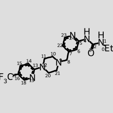 CCNC(=O)Nc1cc(CN2CCN(c3ccc(C(F)(F)F)cn3)CC2)ccn1